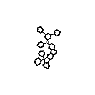 c1ccc(-c2cc(-c3ccccc3)cc(N(c3ccccc3)c3ccc4ccc5cc6c(cc5c4c3)C(c3ccccc3)(c3ccccc3)c3ccccc3-6)c2)cc1